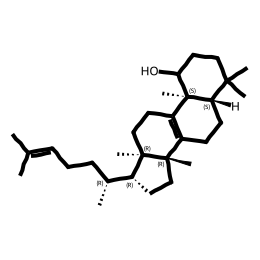 CC(C)=CCC[C@@H](C)[C@H]1CC[C@@]2(C)C3=C(CC[C@]12C)[C@@]1(C)C(O)CCC(C)(C)[C@@H]1CC3